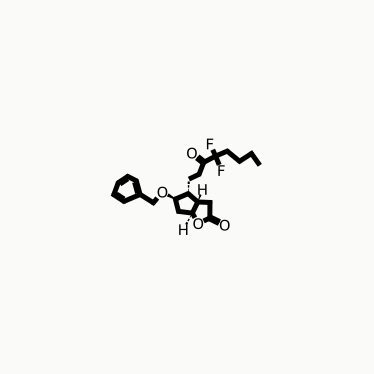 CCCCC(F)(F)C(=O)CC[C@@H]1[C@H]2CC(=O)O[C@H]2C[C@H]1OCc1ccccc1